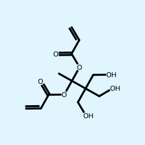 C=CC(=O)OC(C)(OC(=O)C=C)C(CO)(CO)CO